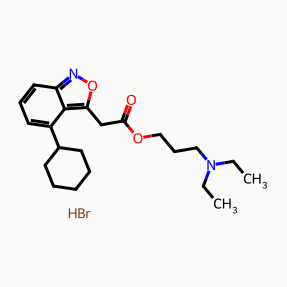 Br.CCN(CC)CCCOC(=O)Cc1onc2cccc(C3CCCCC3)c12